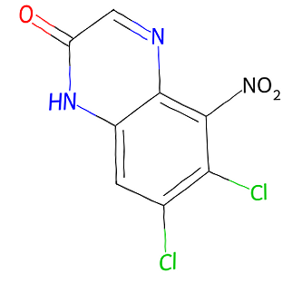 O=c1cnc2c([N+](=O)[O-])c(Cl)c(Cl)cc2[nH]1